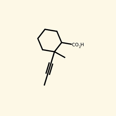 CC#CC1(C)CCCCC1C(=O)O